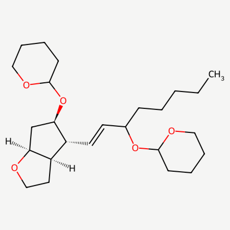 CCCCCC(/C=C/[C@@H]1[C@H]2CCO[C@H]2C[C@H]1OC1CCCCO1)OC1CCCCO1